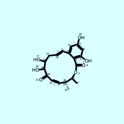 CC1OC(=O)c2c(O)cc(O)cc2/C=C/CC(O)C(O)C(=O)/C=C\[C@H]1C